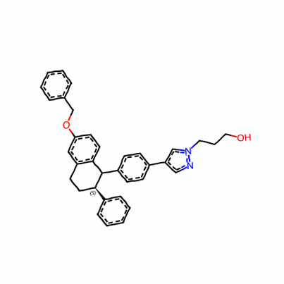 OCCCn1cc(-c2ccc(C3c4ccc(OCc5ccccc5)cc4CC[C@@H]3c3ccccc3)cc2)cn1